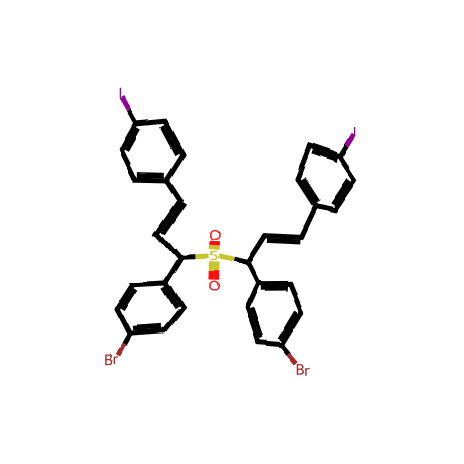 O=S(=O)(C(C=Cc1ccc(I)cc1)c1ccc(Br)cc1)C(C=Cc1ccc(I)cc1)c1ccc(Br)cc1